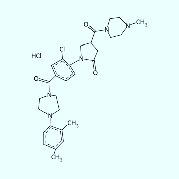 Cc1ccc(N2CCN(C(=O)c3ccc(N4CC(C(=O)N5CCN(C)CC5)CC4=O)c(Cl)c3)CC2)c(C)c1.Cl